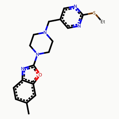 CCSc1ncc(CN2CCN(c3nc4ccc(C)cc4o3)CC2)cn1